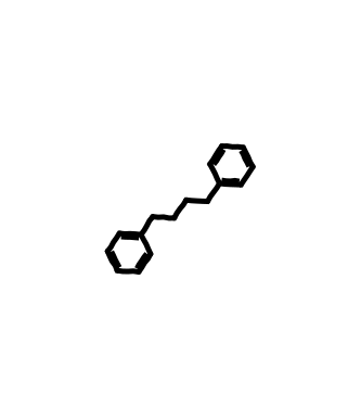 c1ccc(CCCCc2ccccc2)cc1